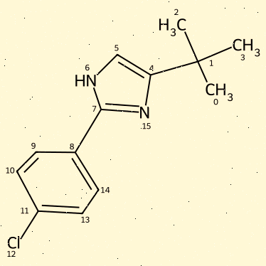 CC(C)(C)c1c[nH]c(-c2ccc(Cl)cc2)n1